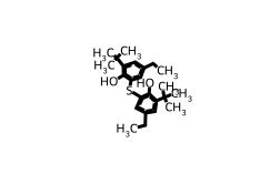 CCc1cc(Sc2cc(CC)cc(C(C)(C)C)c2O)c(O)c(C(C)(C)C)c1